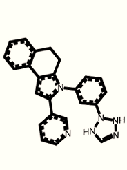 C1=NNN(c2cccc(-n3c(-c4cccnc4)cc4c3CCc3ccccc3-4)c2)N1